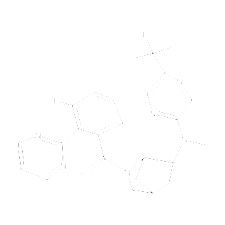 CN(c1cnc(C(F)(F)F)cn1)C1CC2CC1N(C(=O)c1cccc(F)c1-c1ncccn1)C2